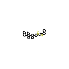 c1ccc2c(-c3c4ccccc4c(-c4ccc(-c5ccc6c(c5)sc5cc7c(cc56)sc5ccc6ccccc6c57)c5ccccc45)c4ccccc34)cccc2c1